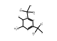 CCC(C)(CC)C1=CC(N)C(C)C(C(C)(CC)CC)=C1